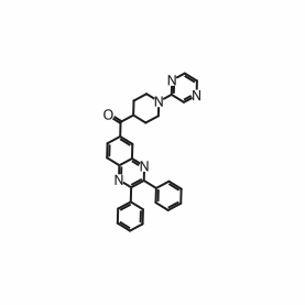 O=C(c1ccc2nc(-c3ccccc3)c(-c3ccccc3)nc2c1)C1CCN(c2cnccn2)CC1